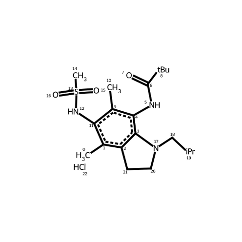 Cc1c2c(c(NC(=O)C(C)(C)C)c(C)c1NS(C)(=O)=O)N(CC(C)C)CC2.Cl